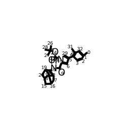 Cc1ccc(-c2cc(C(=O)NC3C4CC5CC(C4)CC3C5)n(C(=O)OC(C)(C)C)c2)c(C)c1